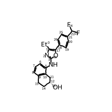 CCc1nc(Nc2cccc3c2C[C@H](O)CC3)oc1-c1ccc(C(F)F)cc1